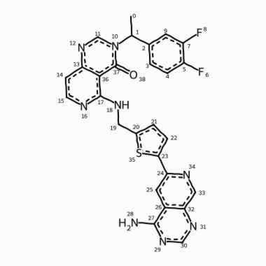 CC(c1ccc(F)c(F)c1)n1cnc2ccnc(NCc3ccc(-c4cc5c(N)ncnc5cn4)s3)c2c1=O